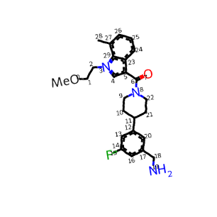 COCCn1cc(C(=O)N2CCC(c3cc(F)cc(CN)c3)CC2)c2cccc(C)c21